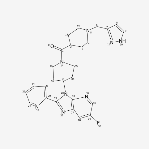 O=C(C1CCN(Cc2cc[nH]n2)CC1)N1CCC(n2c(-c3ccccn3)nc3cc(F)cnc32)CC1